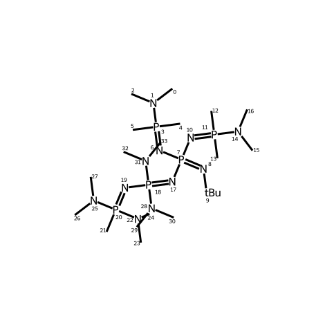 CN(C)P(C)(C)=NP(=NC(C)(C)C)(N=P(C)(C)N(C)C)N=P(N=P(C)(N(C)C)N(C)C)(N(C)C)N(C)C